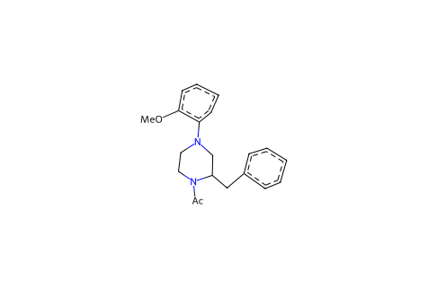 COc1ccccc1N1CCN(C(C)=O)C(Cc2ccccc2)C1